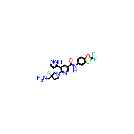 NCC1(F)CCN(c2ncc(C(=O)Nc3ccc(OC(F)(F)Cl)cc3)cc2-c2ccn[nH]2)C1